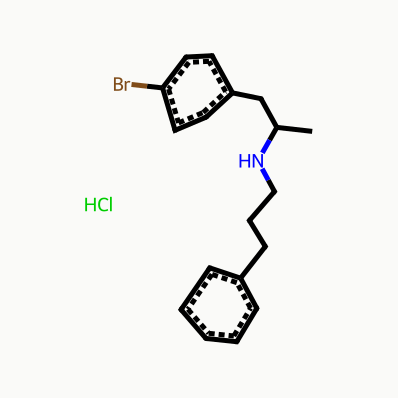 CC(Cc1ccc(Br)cc1)NCCCc1ccccc1.Cl